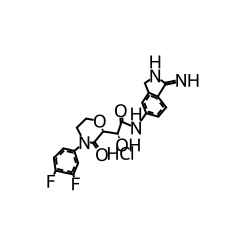 Cl.N=C1NCc2cc(NC(=O)[C@H](O)[C@H]3OCCN(c4ccc(F)c(F)c4)C3=O)ccc21